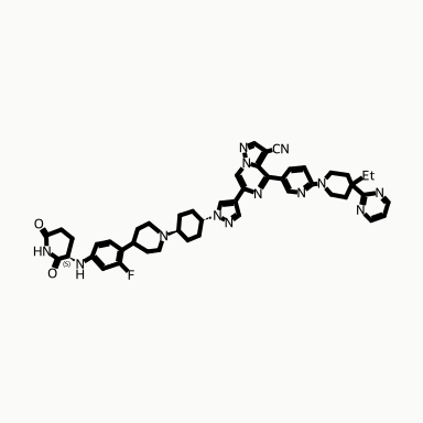 CCC1(c2ncccn2)CCN(c2ccc(-c3nc(-c4cnn([C@H]5CC[C@H](N6CCC(c7ccc(N[C@H]8CCC(=O)NC8=O)cc7F)CC6)CC5)c4)cn4ncc(C#N)c34)cn2)CC1